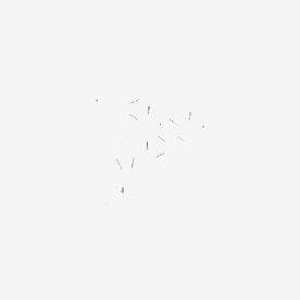 CNC1CCCc2sc(-c3ccc4c(=O)c(C(=O)O)cn(-c5ccc(F)cc5F)c4c3OC)cc21.Cl